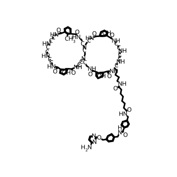 Cc1c2cccc1C(=O)NCCN1CCNC(=O)c3cccc(c3O)C(=O)NCCNCCNCC(CCCCNC(=O)CCCCCCC(=O)NCc3ccc(C(=O)NCc4ccc(COc5nccc(N)n5)cc4)cc3)NC(=O)c3cccc(c3O)C(=O)NCCN(CCNC(=O)c3cccc(c3O)C(=O)NCCNCCNCCNC2=O)CC1